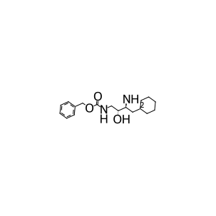 N[C@@H](CC1CCCCC1)[C@H](O)CNC(=O)OCc1ccccc1